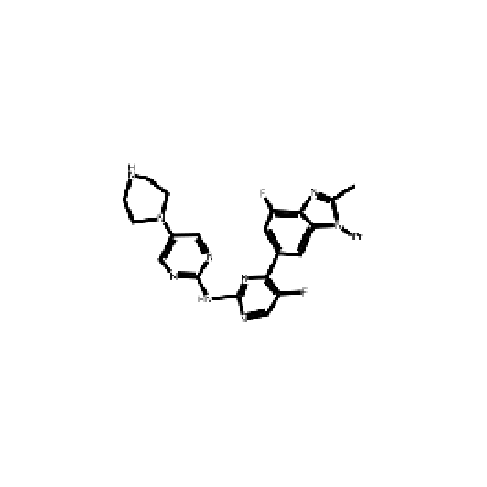 Cc1nc2c(F)cc(-c3nc(Nc4ncc(N5CCNCC5)cn4)ncc3F)cc2n1C(C)C